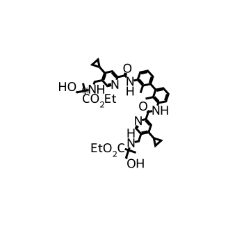 CCOC(=O)C(C)(CO)NCc1cnc(C(=O)Nc2cccc(-c3cccc(NC(=O)c4cc(C5CC5)c(CN[C@](C)(CO)C(=O)OCC)cn4)c3C)c2C)cc1C1CC1